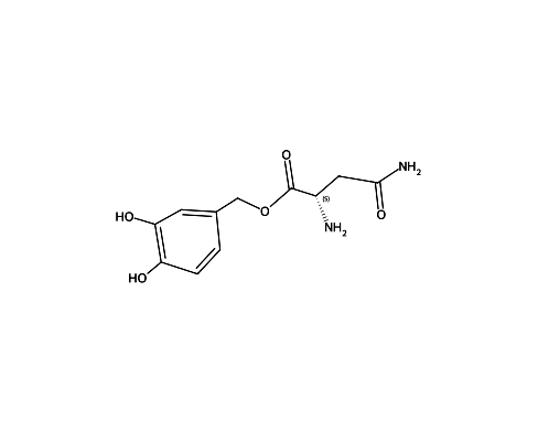 NC(=O)C[C@H](N)C(=O)OCc1ccc(O)c(O)c1